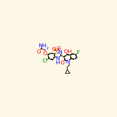 NC(=O)COc1cc2c(cc1Cl)NC(c1c(O)c3cc(F)ccc3n(CCC3CC3)c1=O)=NS2(=O)=O